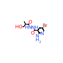 CC(CO)C(=O)NNC(=O)c1cc(Br)cnc1N